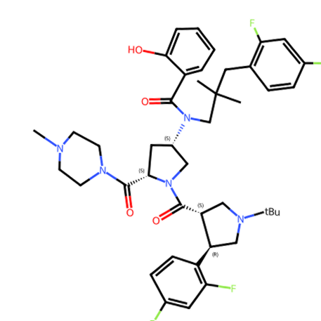 CN1CCN(C(=O)[C@@H]2C[C@H](N(CC(C)(C)Cc3ccc(F)cc3F)C(=O)c3ccccc3O)CN2C(=O)[C@@H]2CN(C(C)(C)C)C[C@H]2c2ccc(F)cc2F)CC1